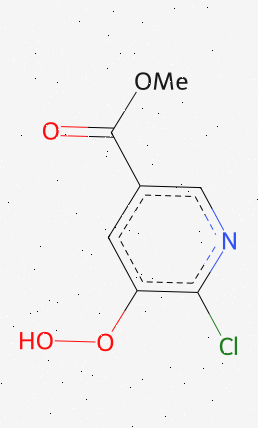 COC(=O)c1cnc(Cl)c(OO)c1